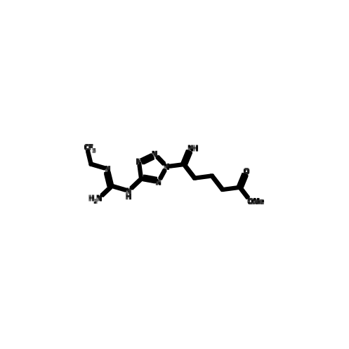 COC(=O)CCCC(=N)n1nnc(NC(N)=NCC(F)(F)F)n1